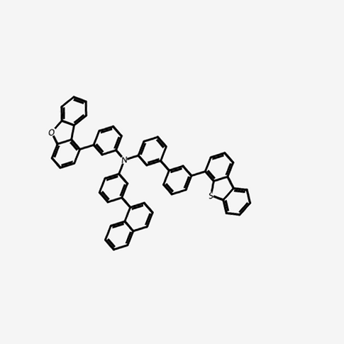 c1cc(-c2cccc(N(c3cccc(-c4cccc5ccccc45)c3)c3cccc(-c4cccc5oc6ccccc6c45)c3)c2)cc(-c2cccc3c2sc2ccccc23)c1